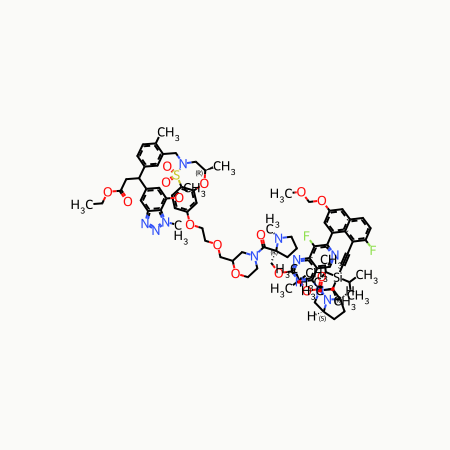 CCOC(=O)CC(c1ccc(C)c(CN2C[C@@H](C)Oc3cc(OCCOCC4CN(C(=O)[C@]5(COc6nc(N7C[C@H]8CC[C@@H](C7)N8C(=O)OC(C)(C)C)c7cnc(-c8cc(OCOC)cc9ccc(F)c(C#C[Si](C(C)C)(C(C)C)C(C)C)c89)c(F)c7n6)CCCN5C)CCO4)ccc3S2(=O)=O)c1)c1cc(OC)c2c(c1)nnn2C